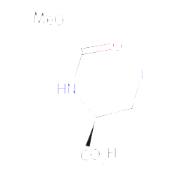 COC(=O)N[C@H](C(=O)O)C(C)I